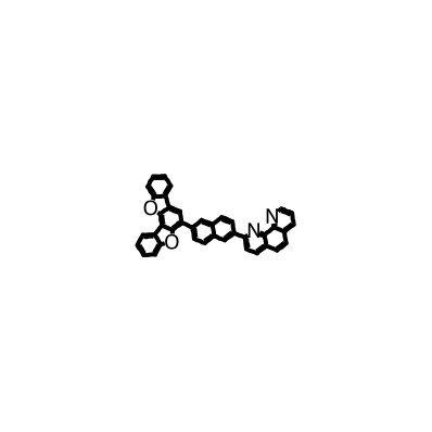 c1cnc2c(c1)ccc1ccc(-c3ccc4cc(-c5cc6c7ccccc7oc6c6c5oc5ccccc56)ccc4c3)nc12